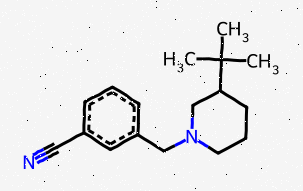 CC(C)(C)C1CCCN(Cc2cccc(C#N)c2)C1